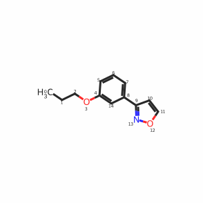 CCCOc1cccc(-c2ccon2)c1